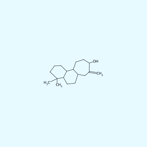 C=C1CC2CCC3C(CCCC3(C)C)C2CCC1O